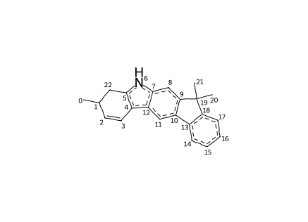 CC1C=Cc2c([nH]c3cc4c(cc23)-c2ccccc2C4(C)C)C1